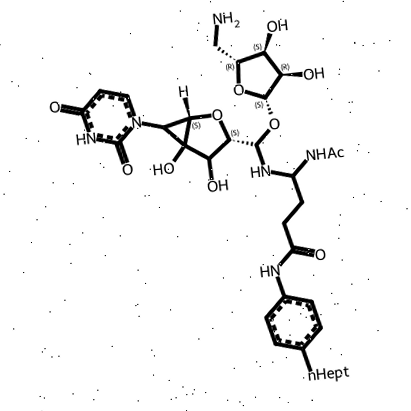 CCCCCCCc1ccc(NC(=O)CCC(NC(C)=O)NC(O[C@@H]2O[C@H](CN)[C@@H](O)[C@H]2O)[C@H]2O[C@H]3C(n4ccc(=O)[nH]c4=O)C3(O)C2O)cc1